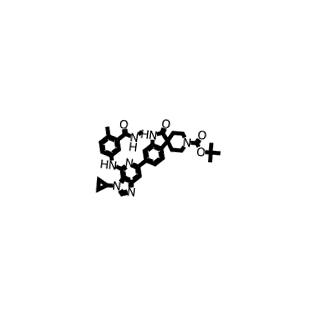 CNC(=O)c1cc(Nc2nc(-c3ccc4c(c3)NC(=O)C43CCN(C(=O)OC(C)(C)C)CC3)cc3ncn(C4CC4)c23)ccc1C